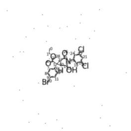 CCOC(=O)[C@@]1(c2ccc(Br)cc2)[C@@H]2C(O)N(c3cc(Cl)cc(Cl)c3)C(=O)[C@@]21C